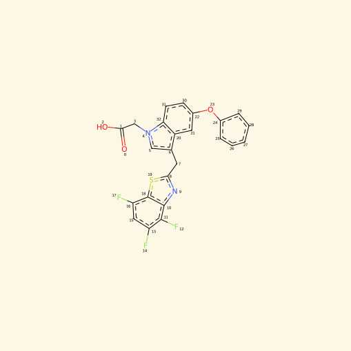 O=C(O)Cn1cc(Cc2nc3c(F)c(F)cc(F)c3s2)c2cc(Oc3ccccc3)ccc21